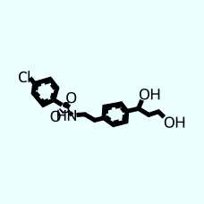 O=S(=O)(NCCc1ccc(C(O)CCO)cc1)c1ccc(Cl)cc1